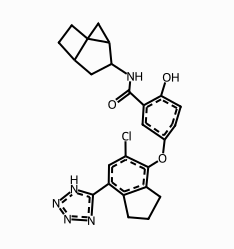 O=C(NC1CC2CCC23CC13)c1cc(Oc2c(Cl)cc(-c3nnn[nH]3)c3c2CCC3)ccc1O